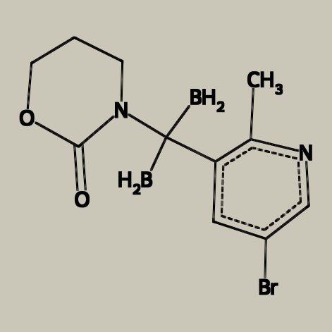 BC(B)(c1cc(Br)cnc1C)N1CCCOC1=O